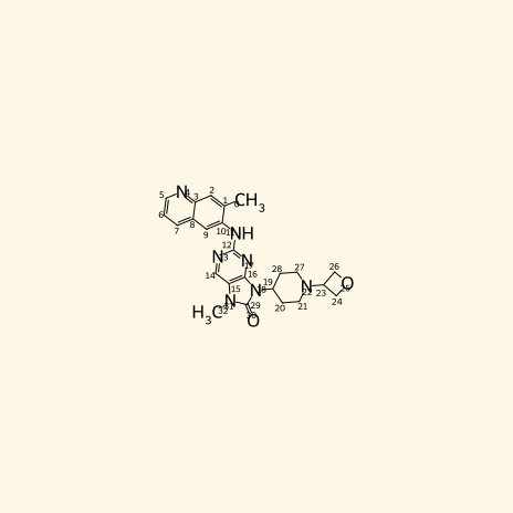 Cc1cc2ncccc2cc1Nc1ncc2c(n1)n(C1CCN(C3COC3)CC1)c(=O)n2C